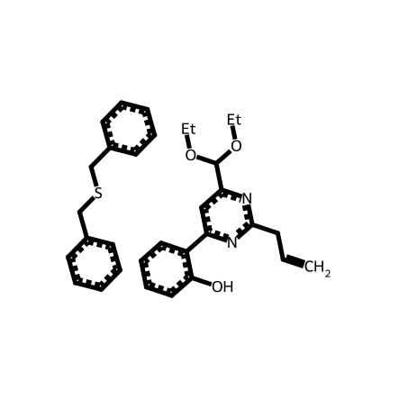 C=CCc1nc(-c2ccccc2O)cc(C(OCC)OCC)n1.c1ccc(CSCc2ccccc2)cc1